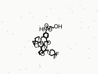 O=C(Nc1nc(N2CCC(F)(F)CC2)c2occc2c1Cl)c1ccc(NS(=O)(=O)CCO)cc1N1CCC2(CC1)CC2